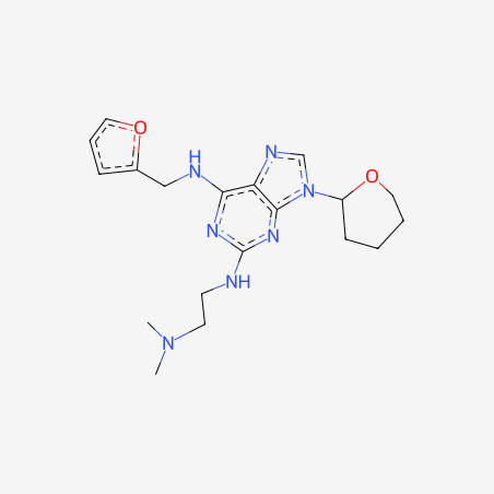 CN(C)CCNc1nc(NCc2ccco2)c2ncn(C3CCCCO3)c2n1